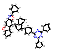 c1ccc(-c2nc(-c3ccccc3)nc(-c3ccc(-c4ccc(-c5c6oc(-c7ccccc7)nc6cc6oc7ccccc7c56)c5ccccc45)cc3)n2)cc1